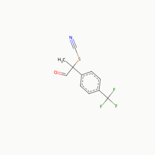 CC(C=O)(SC#N)c1ccc(C(F)(F)F)cc1